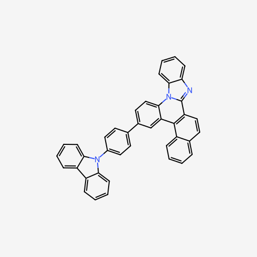 c1ccc2c(c1)ccc1c2c2cc(-c3ccc(-n4c5ccccc5c5ccccc54)cc3)ccc2n2c3ccccc3nc12